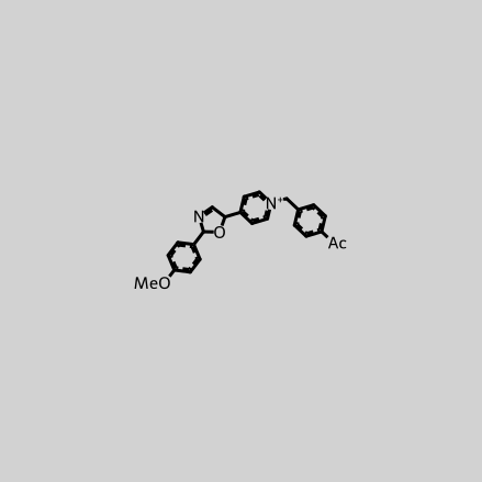 COc1ccc(C2N=CC(c3cc[n+](Cc4ccc(C(C)=O)cc4)cc3)O2)cc1